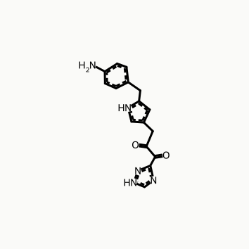 Nc1ccc(Cc2cc(CC(=O)C(=O)c3nc[nH]n3)c[nH]2)cc1